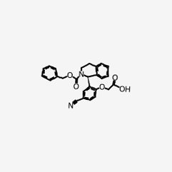 N#Cc1ccc(OCC(=O)O)c([C@@H]2c3ccccc3CCN2C(=O)OCc2ccccc2)c1